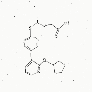 CC(CCC(=O)O)Sc1ccc(-c2cccnc2OC2CCCC2)cc1